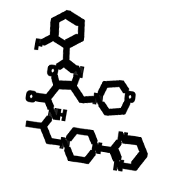 CC(CN1CCN(c2ncccn2)CC1)NC(=O)c1oc(-c2ccccc2F)nc1CN1CCOCC1